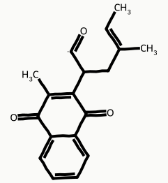 CC=C(C)CC([C]=O)C1=C(C)C(=O)c2ccccc2C1=O